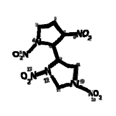 O=[N+]([O-])C1CCN([N+](=O)[O-])C1C1CN([N+](=O)[O-])CN1[N+](=O)[O-]